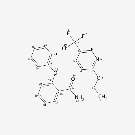 CCOc1ccc(C(F)(F)Cl)cn1.NC(=O)c1ccccc1Oc1ccccc1